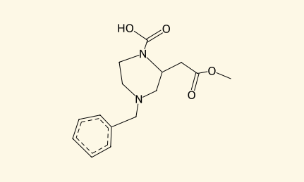 COC(=O)CC1CN(Cc2ccccc2)CCN1C(=O)O